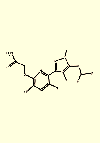 Cn1nc(-c2nc(OCC(N)=O)c(Cl)cc2F)c(Cl)c1OC(F)F